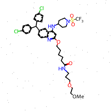 COCCOCCCNC(=O)CCCCCOc1cc(NC2CCN(S(=O)(=O)C(F)(F)F)CC2)c2cc(C(c3ccc(Cl)cc3)c3ccc(Cl)cc3)ccc2n1